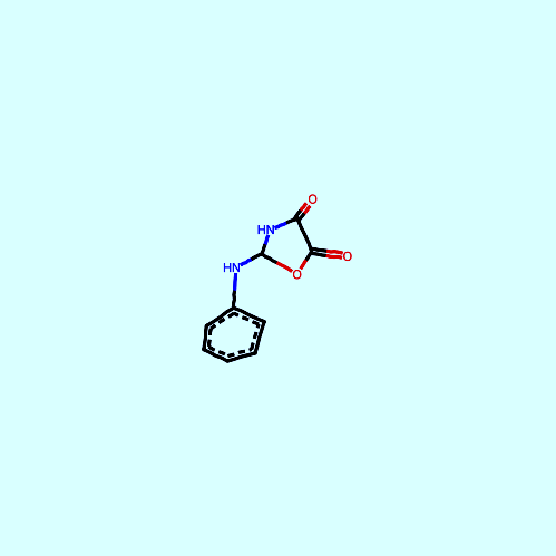 O=C1NC(Nc2ccccc2)OC1=O